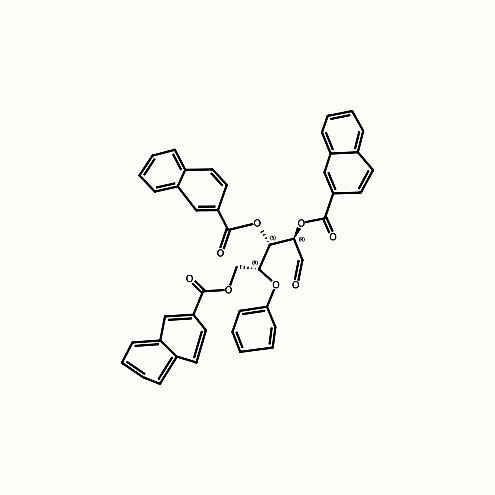 O=C[C@H](OC(=O)c1ccc2ccccc2c1)[C@@H](OC(=O)c1ccc2ccccc2c1)[C@@H](COC(=O)c1ccc2ccccc2c1)Oc1ccccc1